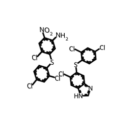 Clc1ccc(Sc2cc3nc[nH]c3cc2Cl)c(Cl)c1.Nc1cc(Sc2ccc(Cl)cc2Cl)c(Cl)cc1[N+](=O)[O-]